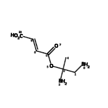 BCC(B)(C)OC(=O)/C=C/C(=O)O